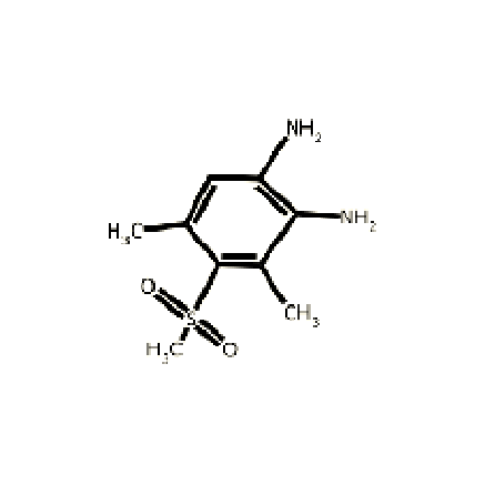 Cc1cc(N)c(N)c(C)c1S(C)(=O)=O